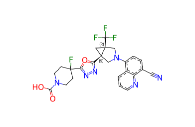 N#Cc1ccc(N2C[C@]3(c4nnc(C5(F)CCN(C(=O)O)CC5)o4)C[C@]3(C(F)(F)F)C2)c2cccnc12